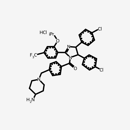 CC(C)Oc1cc(C(F)(F)F)ccc1C1=NC(c2ccc(Cl)cc2)C(c2ccc(Cl)cc2)N1C(=O)c1ccc(CN2CCC(N)CC2)cc1.Cl